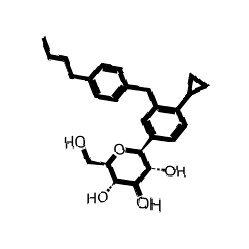 CCCCc1ccc(Cc2cc([C@@H]3O[C@H](CO)[C@@H](O)C(O)[C@H]3O)ccc2C2CC2)cc1